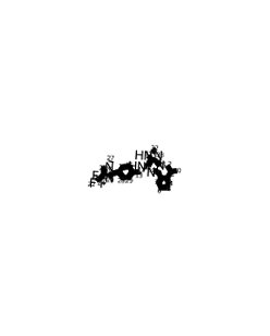 CC(C)c1ccccc1-c1nc(NCc2ccc(-c3nc(C(F)(F)F)cn3C)cc2)c2[nH]cnc2n1